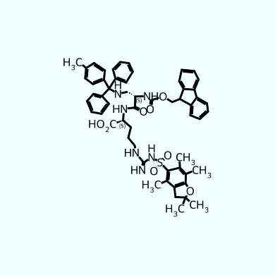 Cc1ccc(C(NC[C@H](NC(=O)OCC2c3ccccc3-c3ccccc32)C(=O)N[C@@H](CCCNC(=N)NS(=O)(=O)c2c(C)c(C)c3c(c2C)CC(C)(C)O3)C(=O)O)(c2ccccc2)c2ccccc2)cc1